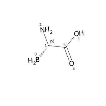 B[C@H](N)C(=O)O